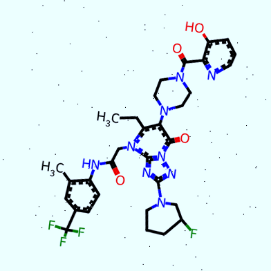 CCc1c(N2CCN(C(=O)c3ncccc3O)CC2)c(=O)n2nc(N3CCCC(F)C3)nc2n1CC(=O)Nc1ccc(C(F)(F)F)cc1C